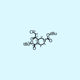 CC(C)(C)OC(=O)N1CCN(C(=O)OC(C)(C)C)C(C(=O)CCl)C1